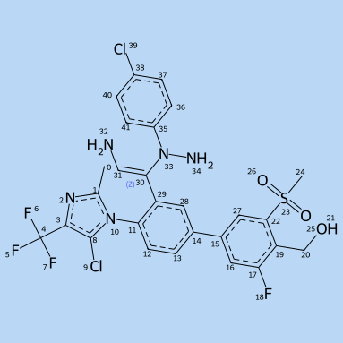 Cc1nc(C(F)(F)F)c(Cl)n1-c1ccc(-c2cc(F)c(CO)c(S(C)(=O)=O)c2)cc1/C(=C/N)N(N)c1ccc(Cl)cc1